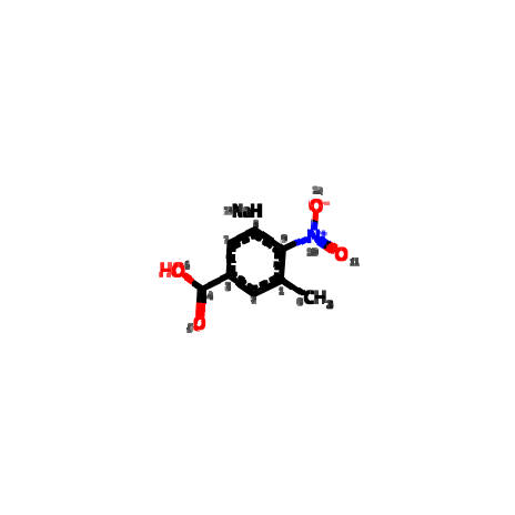 Cc1cc(C(=O)O)ccc1[N+](=O)[O-].[NaH]